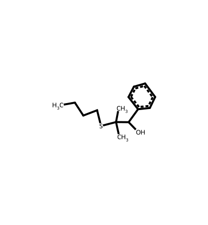 CCCCSC(C)(C)C(O)c1ccccc1